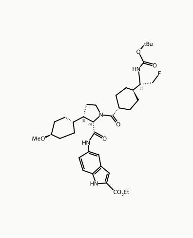 CCOC(=O)c1cc2cc(NC(=O)[C@@H]3[C@H]([C@H]4CC[C@H](OC)CC4)CCN3C(=O)[C@H]3CC[C@H]([C@@H](CF)NC(=O)OC(C)(C)C)CC3)ccc2[nH]1